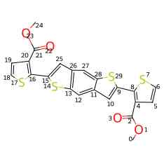 COC(=O)c1ccsc1-c1cc2cc3sc(-c4sccc4C(=O)OC)cc3cc2s1